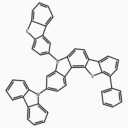 c1ccc(-c2cccc3c2sc2c3ccc3c2c2ccc(-n4c5ccccc5c5ccccc54)cc2n3-c2ccc3sc4ccccc4c3c2)cc1